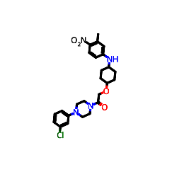 Cc1cc(NC2CCC(OCC(=O)N3CCN(c4cccc(Cl)c4)CC3)CC2)ccc1[N+](=O)[O-]